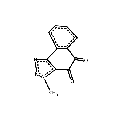 Cn1nnc2c1C(=O)C(=O)c1ccccc1-2